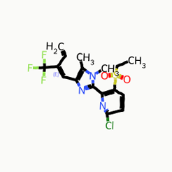 C=C/C(=C\c1nc(-c2nc(Cl)ccc2S(=O)(=O)CC)n(C)c1C)C(F)(F)F